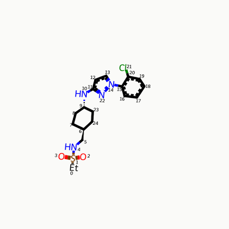 CCS(=O)(=O)NC[C@H]1CC[C@H](Nc2ccn(-c3ccccc3Cl)n2)CC1